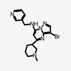 CN1CCCC(c2cc(NCc3cccnc3)n3ncc(Br)c3n2)C1